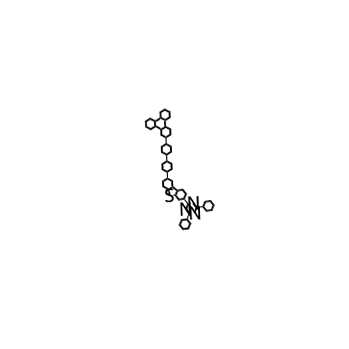 c1ccc(-c2nc(-c3ccccc3)nc(-c3ccc4c(c3)sc3ccc(-c5ccc(-c6ccc(-c7ccc8c9ccccc9c9ccccc9c8c7)cc6)cc5)cc34)n2)cc1